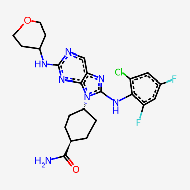 NC(=O)[C@H]1CC[C@H](n2c(Nc3c(F)cc(F)cc3Cl)nc3cnc(NC4CCOCC4)nc32)CC1